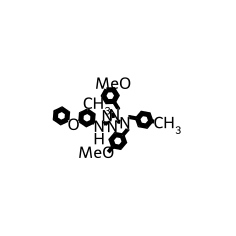 COc1ccc(CN(Cc2ccc(C)cc2)c2nc(Nc3cc(C)cc(Oc4ccccc4)c3)nn2Cc2ccc(OC)cc2)cc1